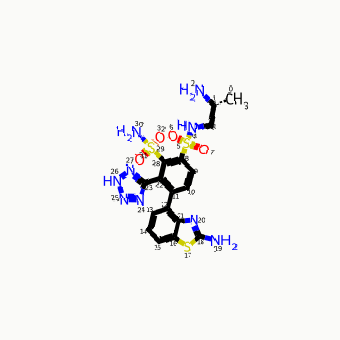 C[C@@H](N)CNS(=O)(=O)c1ccc(-c2cccc3sc(N)nc23)c(-c2nn[nH]n2)c1S(N)(=O)=O